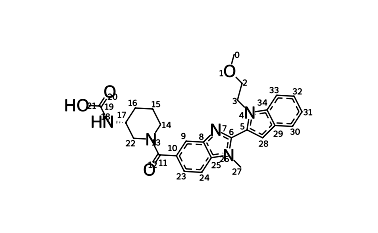 COCCn1c(-c2nc3cc(C(=O)N4CCC[C@@H](NC(=O)O)C4)ccc3n2C)cc2ccccc21